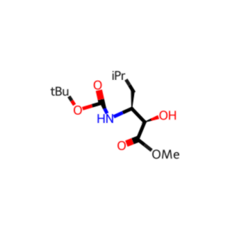 COC(=O)[C@H](O)[C@H](CC(C)C)NC(=O)OC(C)(C)C